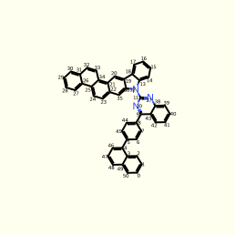 c1ccc2c(-c3ccc(-c4nc(-n5c6ccccc6c6cc7c(ccc8c9ccccc9ccc78)cc65)nc5ccccc45)cc3)cccc2c1